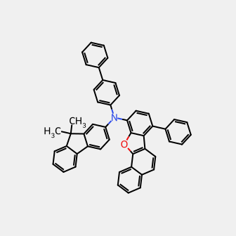 CC1(C)c2ccccc2-c2ccc(N(c3ccc(-c4ccccc4)cc3)c3ccc(-c4ccccc4)c4c3oc3c5ccccc5ccc34)cc21